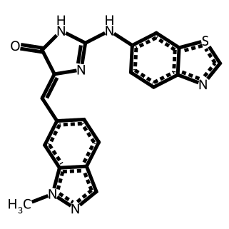 Cn1ncc2ccc(/C=C3\N=C(Nc4ccc5ncsc5c4)NC3=O)cc21